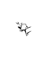 C=C([SiH3])NC(N(C)C)N(C)C